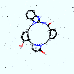 O=C1Nc2nc3ccccc3n2Cc2ccc(O)c(c2)-c2ccc(=O)n(n2)Cc2cccc1c2